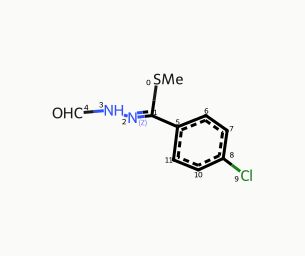 CS/C(=N\NC=O)c1ccc(Cl)cc1